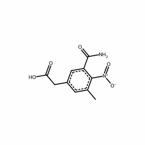 Cc1cc(CC(=O)O)cc(C(N)=O)c1[N+](=O)[O-]